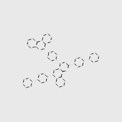 c1ccc(-c2ccc(-c3cc(-c4ccc(-c5nc6ccccc6c6ccccc56)cc4)c4cc(-c5ccc(-c6ccccc6)cc5)c5ccccc5c4n3)cc2)cc1